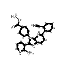 COC(=O)c1ccc(-n2c(-c3cccnc3N)nc3ccc(-c4ccccc4C#N)nc32)cc1